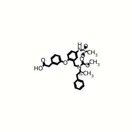 COC(=O)N(Cc1cc(NS(C)(=O)=O)ccc1Oc1cccc(CC(=O)O)c1)[C@@H](C)Cc1ccccc1